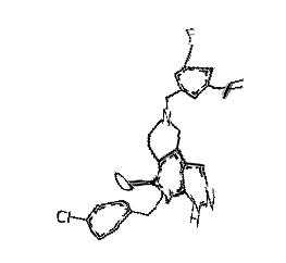 O=c1c2c(c3cn[nH]c3n1Cc1ccc(Cl)cc1)CN(Cc1cc(F)cc(F)c1)C2